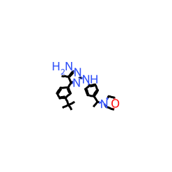 Cc1c(N)nc(Nc2ccc(C(C)N3CCOCC3)cc2)nc1-c1cccc(C(C)(C)C)c1